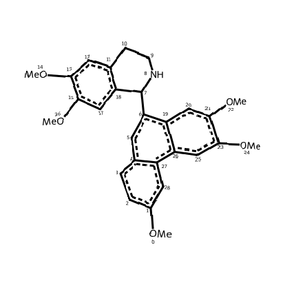 COc1ccc2cc(C3NCCc4cc(OC)c(OC)cc43)c3cc(OC)c(OC)cc3c2c1